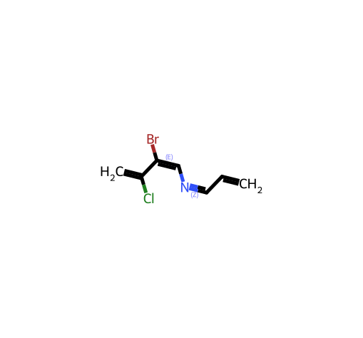 C=C/C=N\C=C(\Br)C(=C)Cl